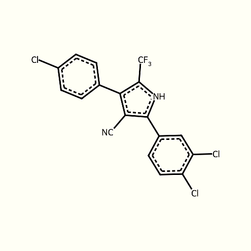 N#Cc1c(-c2ccc(Cl)c(Cl)c2)[nH]c(C(F)(F)F)c1-c1ccc(Cl)cc1